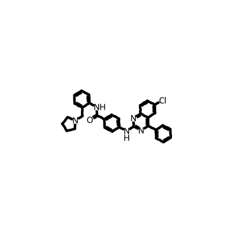 O=C(Nc1ccccc1CN1CCCC1)c1ccc(Nc2nc(-c3ccccc3)c3cc(Cl)ccc3n2)cc1